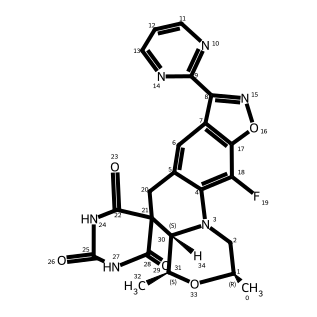 C[C@@H]1CN2c3c(cc4c(-c5ncccn5)noc4c3F)CC3(C(=O)NC(=O)NC3=O)[C@H]2[C@H](C)O1